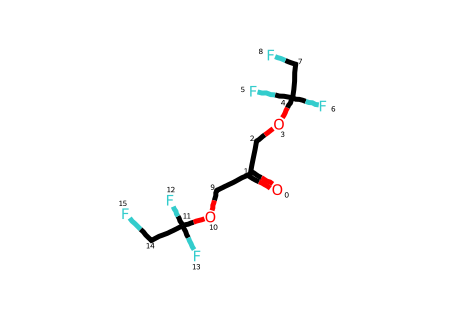 O=C(COC(F)(F)CF)COC(F)(F)CF